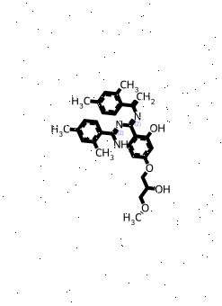 C=C(/N=C(\N=C(/N)c1ccc(C)cc1C)c1ccc(OCC(O)COC)cc1O)c1ccc(C)cc1C